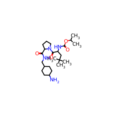 CC(C)OC(=O)NC(CC(C)(C)C)C(=O)N1CCCC1C(=O)NCC1CCC(N)CC1